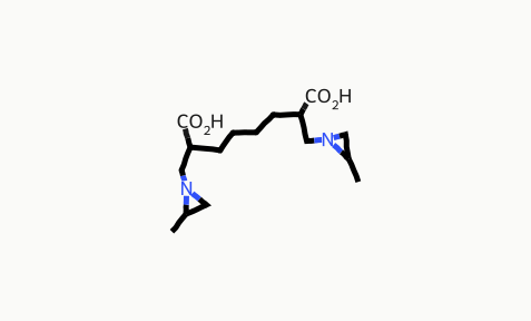 CC1CN1CC(CCCCC(CN1CC1C)C(=O)O)C(=O)O